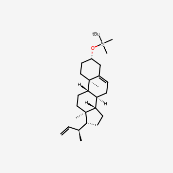 C=C[C@H](C)[C@H]1CC[C@H]2[C@@H]3CC=C4C[C@@H](O[Si](C)(C)C(C)(C)C)CC[C@]4(C)[C@H]3CC[C@]12C